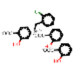 Clc1ccccc1[CH2][Sn+3].O=C([O-])c1ccccc1O.O=C([O-])c1ccccc1O.O=C([O-])c1ccccc1O